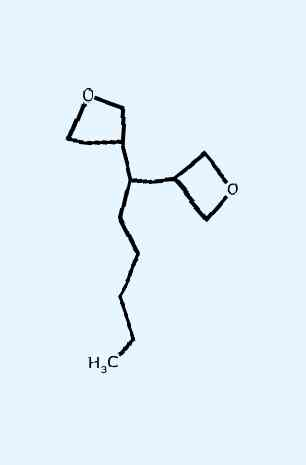 CCCCCC(C1COC1)C1COC1